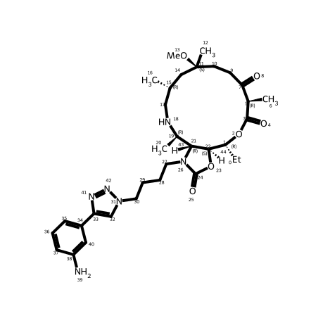 CC[C@H]1OC(=O)[C@H](C)C(=O)CC[C@](C)(OC)C[C@@H](C)CN[C@H](C)[C@@H]2[C@@H]1OC(=O)N2CCCCn1cc(-c2cccc(N)c2)nn1